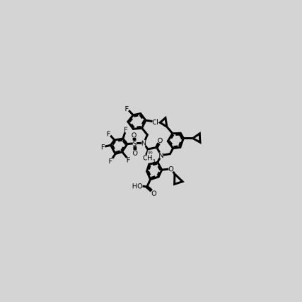 C[C@H](C(=O)N(Cc1cc(C2CC2)cc(C2CC2)c1)c1ccc(C(=O)O)cc1OC1CC1)N(Cc1ccc(F)cc1Cl)S(=O)(=O)c1c(F)c(F)c(F)c(F)c1F